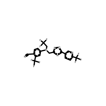 N#Cc1ccc(N(Cc2noc(-c3ccc(C(F)(F)F)nc3)n2)CC(F)(F)F)cc1C(F)(F)F